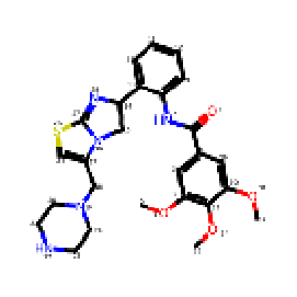 COc1cc(C(=O)Nc2ccccc2C2CN3C(CN4CCNCC4)=CSC3=N2)cc(OC)c1OC